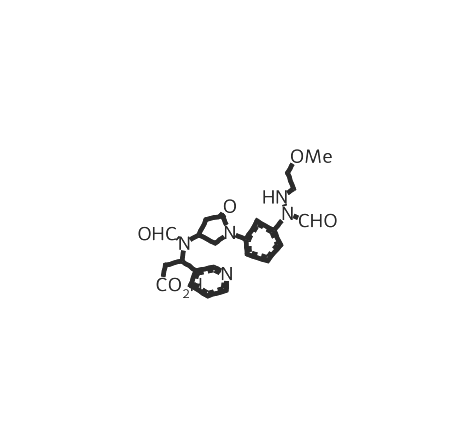 COCCNN(C=O)c1cccc(N2CC(N(C=O)C(CC(=O)O)c3cccnc3)CC2=O)c1